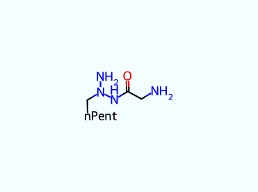 CCCCCCN(N)NC(=O)CN